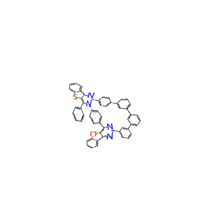 c1ccc(-c2nc(-c3cccc(-c4cccc(-c5cccc(-c6ccc(-c7nc(-c8ccccc8)c8sc9ccccc9c8n7)cc6)c5)c4)c3)nc3c2oc2ccccc23)cc1